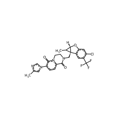 Cc1cn(-c2ccc3n(c2=O)CCN(C[C@]24c5cc(C(F)(F)F)c(Cl)cc5O[C@H]2C4C)C3=O)cn1